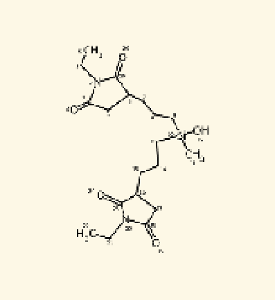 CCN1C(=O)CC(CCC[Si](C)(O)CCCC2CC(=O)N(CC)C2=O)C1=O